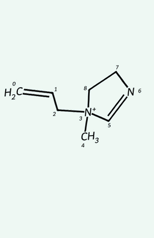 C=CC[N+]1(C)C=NCC1